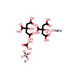 O.O=C(O)CC(O)(CC(=O)O)C(=O)O.O=C(O)CC(O)(CC(=O)O)C(=O)O.O=C(O)O.[K+].[K+].[K+].[Na+].[O-][Si]([O-])([O-])[O-]